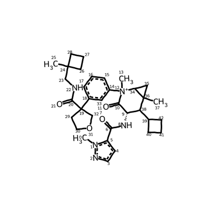 Cn1nccc1C(=O)N[C@@H]1C(=O)[N+](C)(c2cccc(C3(C(=O)NCC4(C)CCC4)CCOC3)c2)C2CC2(C)C1C1CCC1